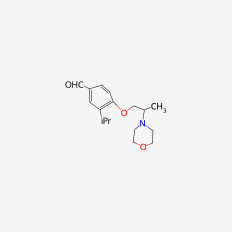 CC(C)c1cc(C=O)ccc1OCC(C)N1CCOCC1